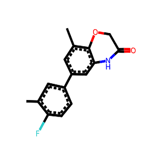 Cc1cc(-c2cc(C)c3c(c2)NC(=O)CO3)ccc1F